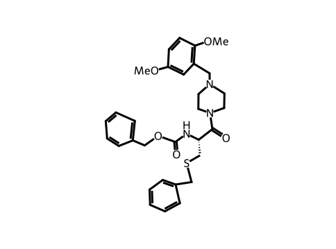 COc1ccc(OC)c(CN2CCN(C(=O)[C@H](CSCc3ccccc3)NC(=O)OCc3ccccc3)CC2)c1